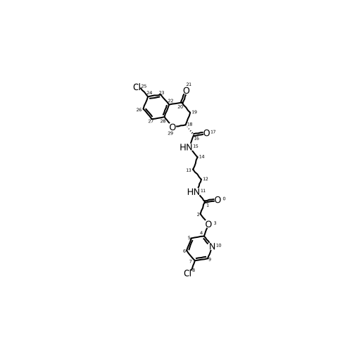 O=C(COc1ccc(Cl)cn1)NCCCNC(=O)[C@H]1CC(=O)c2cc(Cl)ccc2O1